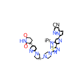 CC(C)Nc1cc(-c2ccc3cc(C#N)cnn23)ncc1-c1nnc(N2CCN(C[C@@H]3CCN(c4ccc([C@H]5CCC(=O)NC5=O)cn4)C3)CC2)s1